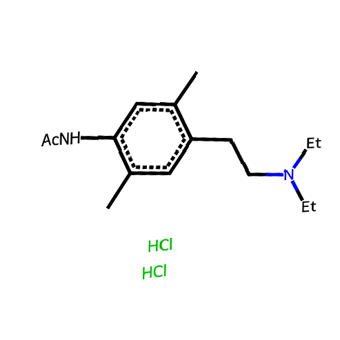 CCN(CC)CCc1cc(C)c(NC(C)=O)cc1C.Cl.Cl